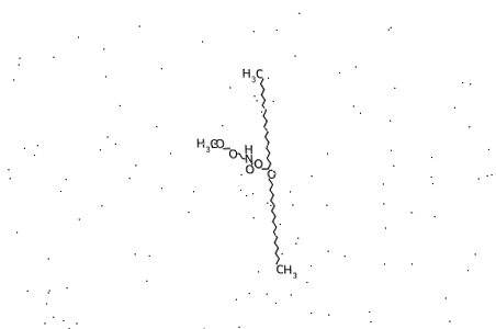 CCCCCCCCCCCCCCCCCCOC(CCCCCCCCCCCCCCCCCC)COC(=O)NCCOCCOC